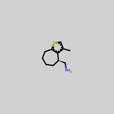 Cc1csc2c1[C@@H](CN)CCCC2